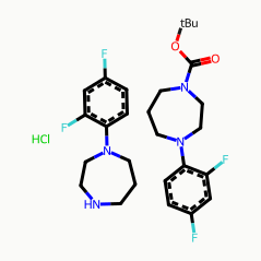 CC(C)(C)OC(=O)N1CCCN(c2ccc(F)cc2F)CC1.Cl.Fc1ccc(N2CCCNCC2)c(F)c1